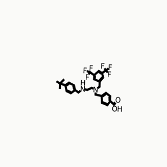 CC(C)(C)c1ccc(CNCCN(Cc2ccc(C(=O)O)cc2)Cc2cc(C(F)(F)F)cc(C(F)(F)F)c2)cc1